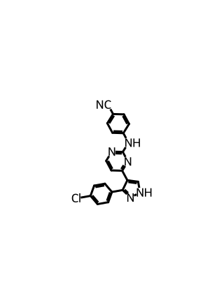 N#Cc1ccc(Nc2nccc(-c3c[nH]nc3-c3ccc(Cl)cc3)n2)cc1